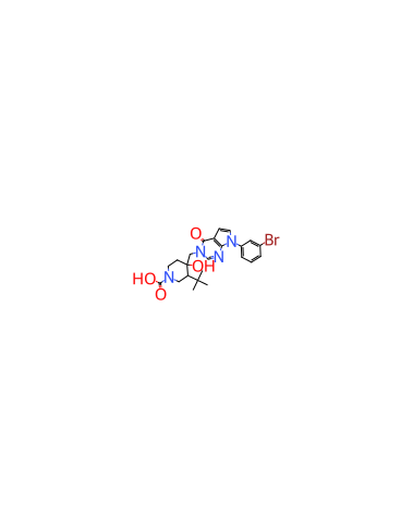 CC(C)(C)C1CN(C(=O)O)CCC1(O)Cn1cnc2c(ccn2-c2cccc(Br)c2)c1=O